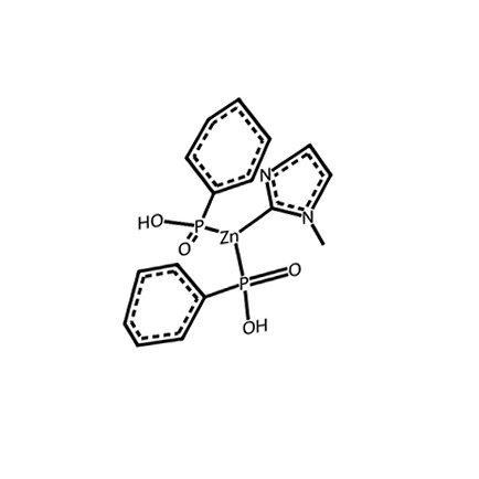 Cn1ccn[c]1[Zn]([P](=O)(O)c1ccccc1)[P](=O)(O)c1ccccc1